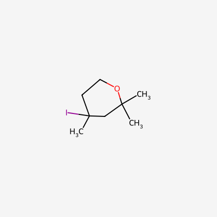 CC1(I)CCOC(C)(C)C1